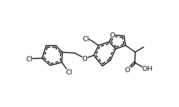 CC(C(=O)O)c1coc2c(Cl)c(OCc3ccc(Cl)cc3Cl)ccc12